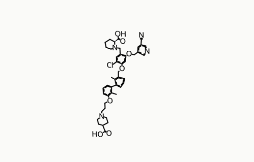 Cc1c(COc2cc(OCc3cncc(C#N)c3)c(CN3CCCC[C@H]3C(=O)O)cc2Cl)cccc1-c1cccc(OCCCN2CCC(C(=O)O)CC2)c1C